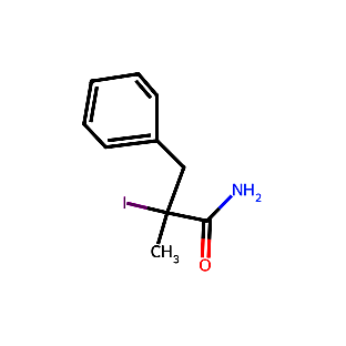 CC(I)(Cc1ccccc1)C(N)=O